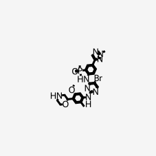 COc1cc(Nc2ncc(Br)c(Nc3ccc(-c4cnn(C)n4)cc3P(C)(C)=O)n2)c(C)cc1C1CNCCO1